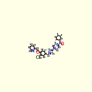 O=C(c1ccccc1)N1CCN(C2CN(Cc3ccc(OCc4ccccn4)c(Cl)c3)C2)CC1